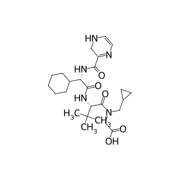 CC(C)(C)[C@H](NC(=O)[C@@H](NC(=O)C1=NC=CNC1)C1CCCCC1)C(=O)N(CC(=O)O)CC1CC1